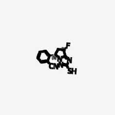 N#Cc1ccccc1[C@@H]1C[C@H](F)c2nc(S)nn21